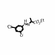 CCOC(=O)/C(C)=N/Nc1cc(Cl)cc(Cl)c1